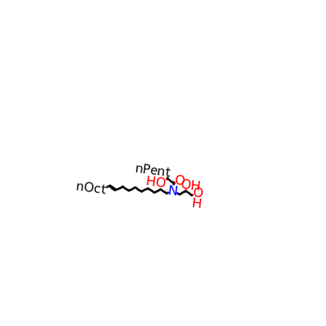 CCCCCCCCC=CCCCCCCCCN(CC(O)CO)C(=O)C(O)CCCCC